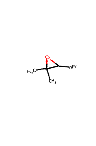 CCCC1OC1(C)C